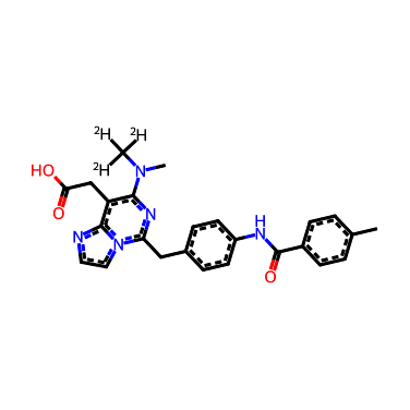 [2H]C([2H])([2H])N(C)c1nc(Cc2ccc(NC(=O)c3ccc(C)cc3)cc2)n2ccnc2c1CC(=O)O